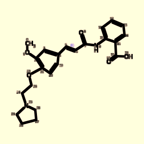 COc1cc(/C=C/C(=O)Nc2ccccc2C(=O)O)ccc1OCCN1CCCC1